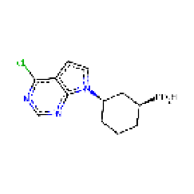 O=C(O)[C@H]1CCC[C@@H](n2ccc3c(Cl)ncnc32)C1